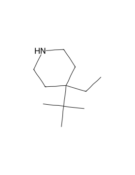 CCC1(C(C)(C)C)CCNCC1